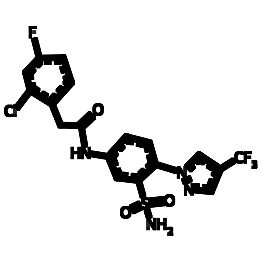 NS(=O)(=O)c1cc(NC(=O)Cc2ccc(F)cc2Cl)ccc1-n1cc(C(F)(F)F)cn1